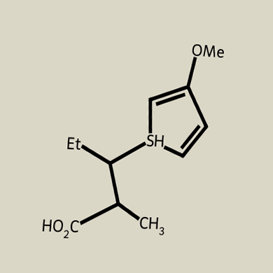 CCC(C(C)C(=O)O)[SH]1C=CC(OC)=C1